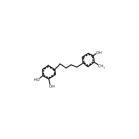 Cc1cc(CCCCc2ccc(O)c(O)c2)ccc1O